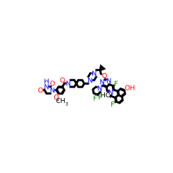 C#Cc1c(F)ccc2cc(O)cc(-c3ncc4c(N5CCCC(F)(F)C5)nc(OCC5(CN6CCN(CC7CCC8(CC7)CCN(C(=O)c7ccc(OC)c(N9CCC(=O)NC9=O)c7)CC8)CC6)CC5)nc4c3F)c12